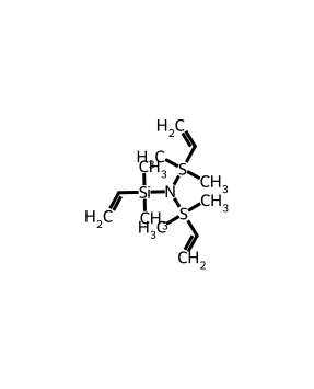 C=C[Si](C)(C)N(S(C)(C)C=C)S(C)(C)C=C